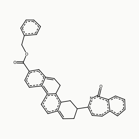 O=C(OCc1ccccc1)c1ccc2c(c1)=CCc1c3c(ccc1=2)=CCC(c1ccc2ccccc2c(=O)n1)C3